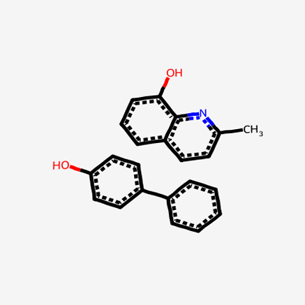 Cc1ccc2cccc(O)c2n1.Oc1ccc(-c2ccccc2)cc1